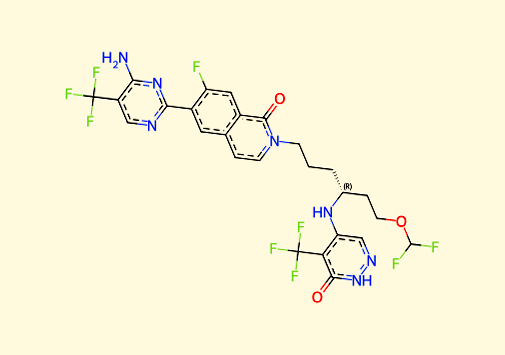 Nc1nc(-c2cc3ccn(CCC[C@H](CCOC(F)F)Nc4cn[nH]c(=O)c4C(F)(F)F)c(=O)c3cc2F)ncc1C(F)(F)F